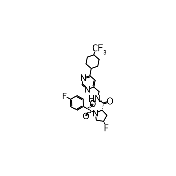 O=C(NCc1cc(C2CCC(C(F)(F)F)CC2)ncn1)[C@@H]1C[C@@H](F)CN1S(=O)(=O)c1ccc(F)cc1